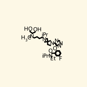 CCN(C(=O)c1cc(F)ccc1Oc1nncnc1N1CCC2(C1)CN([C@H](CCCN(C)C(CO)CO)C(C)C)C2)C(C)C